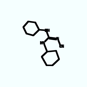 N#CN=C(NC1CCCCC1)NC1CCCCC1